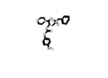 O=C(Oc1ccc([N+](=O)[O-])cc1)O[C@@H](CS(=O)(=O)Cc1ccccc1)C(=O)N1CCOCC1